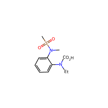 CCN(C(=O)O)c1ccccc1N(C)S(C)(=O)=O